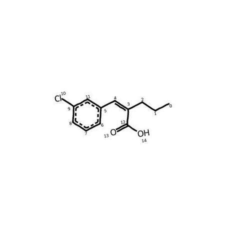 CCCC(=Cc1cccc(Cl)c1)C(=O)O